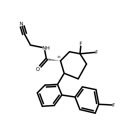 N#CCNC(=O)[C@@H]1CC(F)(F)CCC1c1ccccc1-c1ccc(F)cc1